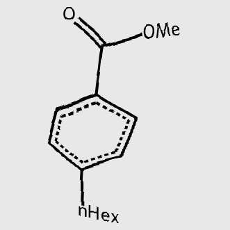 [CH2]CCCCCc1ccc(C(=O)OC)cc1